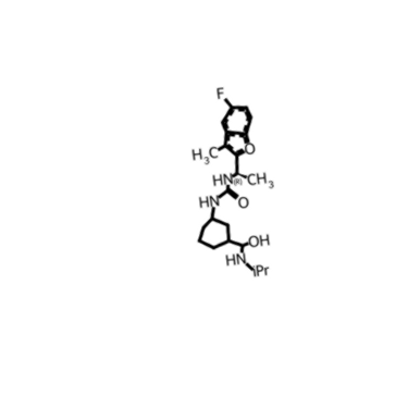 Cc1c([C@@H](C)NC(=O)NC2CCCC(C(O)NC(C)C)C2)oc2ccc(F)cc12